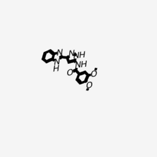 COc1ccc(C(=O)Nc2cc(-c3nc4ccccc4[nH]3)n[nH]2)cc1OC